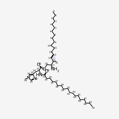 CCCCCCCCCCCCC/C=C/C(C)C(N)COC(=O)C(Cc1cn(C)cn1)NC(=O)CCCCCCCCCCCCCCCCC